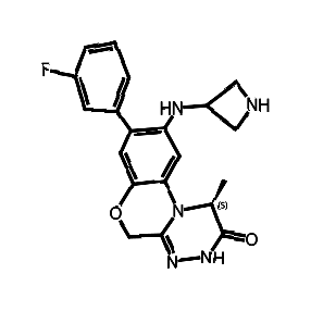 C[C@H]1C(=O)NN=C2COc3cc(-c4cccc(F)c4)c(NC4CNC4)cc3N21